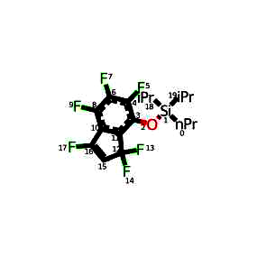 CCC[Si](Oc1c(F)c(F)c(F)c2c1C(F)(F)[C]=C2F)(C(C)C)C(C)C